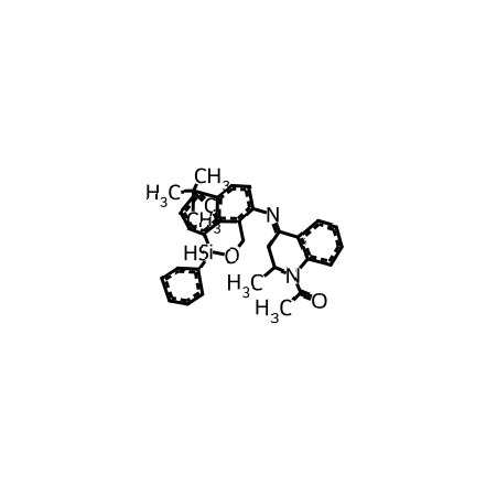 CC(=O)N1c2ccccc2C(=Nc2ccc(C(C)(C)C)cc2CO[SiH](c2ccccc2)c2ccccc2)CC1C